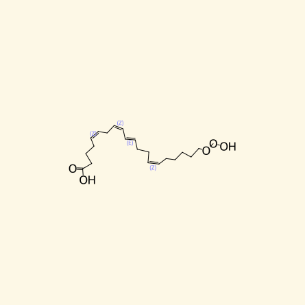 O=C(O)CCC/C=C\C/C=C\C=C\CC/C=C\CCCCCOOO